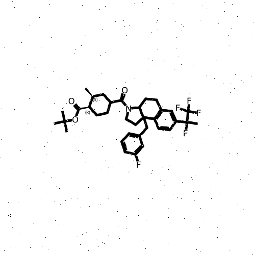 C[C@H]1CC(C(=O)N2CCC3(Cc4cccc(F)c4)c4ccc(C(C)(F)C(F)(F)F)cc4CCC23)CC[C@H]1C(=O)OC(C)(C)C